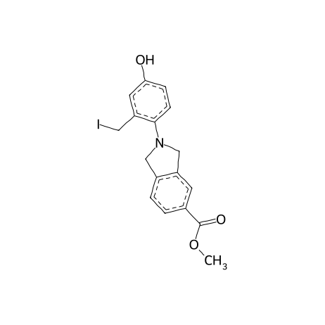 COC(=O)c1ccc2c(c1)CN(c1ccc(O)cc1CI)C2